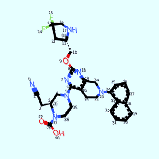 N#CC[C@H]1CN(c2nc(OC[C@@H]3CC(F)(F)CN3)nc3c2CCN(c2cccc4ccccc24)C3)CCN1C(=O)O